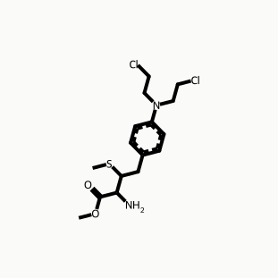 COC(=O)C(N)C(Cc1ccc(N(CCCl)CCCl)cc1)SC